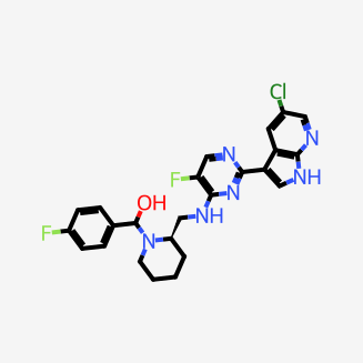 OC(c1ccc(F)cc1)N1CCCC[C@@H]1CNc1nc(-c2c[nH]c3ncc(Cl)cc23)ncc1F